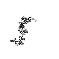 CC(C)(COP(=O)(O)OP(=O)(O)OC[C@H]1O[C@@H](n2cnc3c(N)ncnc32)[C@H](O)[C@@H]1OP(=O)(O)O)[C@@H](O)C(=O)NCCC(=O)NCCS(C)(O)C(=O)CCCC(=O)O